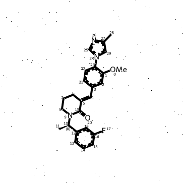 COc1cc(C=C2CCCN([C@H](C)c3cccc(F)c3)C2=O)ccc1-n1cnc(C)c1